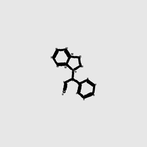 O=CC(c1ccccc1)N1CCc2ccccc21